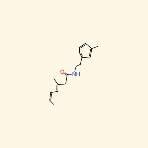 C/C=C\C=C(/C)CC(=O)NCCc1cccc(C)c1